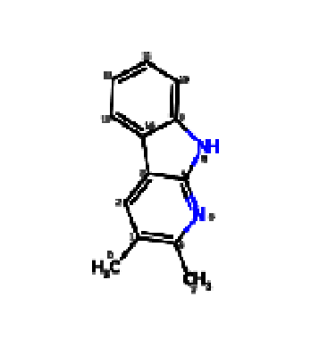 Cc1cc2c(nc1C)[nH]c1ccccc12